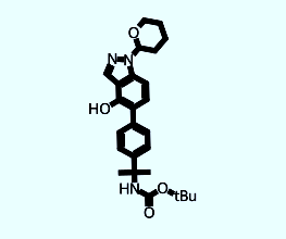 CC(C)(C)OC(=O)NC(C)(C)c1ccc(-c2ccc3c(cnn3C3CCCCO3)c2O)cc1